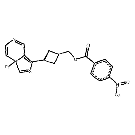 O=C(OCC1CC(C2=C3C=NC=C[N+]3(Cl)C=N2)C1)c1ccc([N+](=O)O)cc1